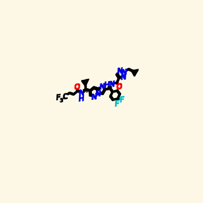 O=C(CCC(F)(F)F)N[C@@H](c1cnn2cc([C@@H](NC(=O)c3cnn(CC4CC4)n3)C3CCC(F)(F)CC3)nc2c1)C1CC1